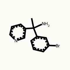 CC(N)(c1cccnc1)c1cccc(Br)c1